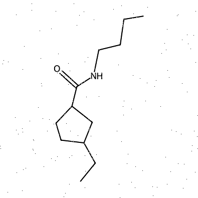 CCCCNC(=O)C1CCC(CC)C1